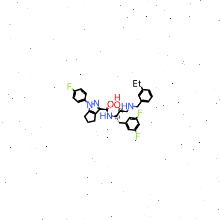 CCc1cccc(CNC[C@@H](O)[C@H](Cc2cc(F)cc(F)c2)NC(=O)c2nn(-c3ccc(F)cc3)c3c2CCC3)c1